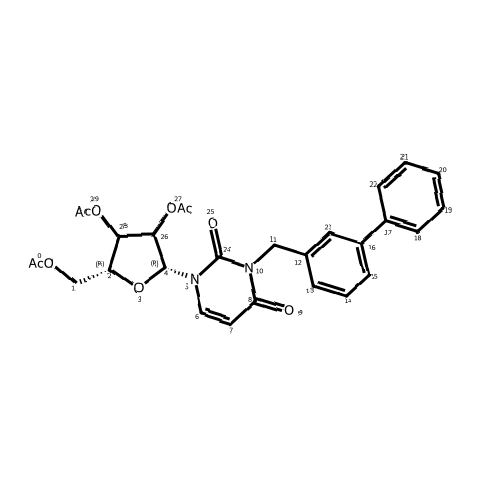 CC(=O)OC[C@H]1O[C@@H](n2ccc(=O)n(Cc3cccc(-c4ccccc4)c3)c2=O)C(OC(C)=O)C1OC(C)=O